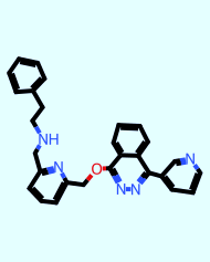 c1ccc(CCNCc2cccc(COc3nnc(-c4cccnc4)c4ccccc34)n2)cc1